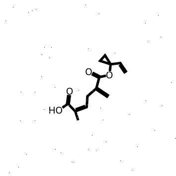 C=CC1(OC(=O)C(=C)CC=C(C)C(=O)O)CC1